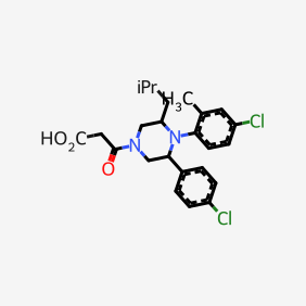 Cc1cc(Cl)ccc1N1C(CC(C)C)CN(C(=O)CC(=O)O)CC1c1ccc(Cl)cc1